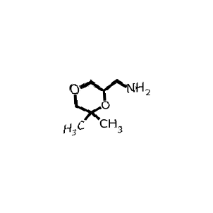 CC1(C)COCC(CN)O1